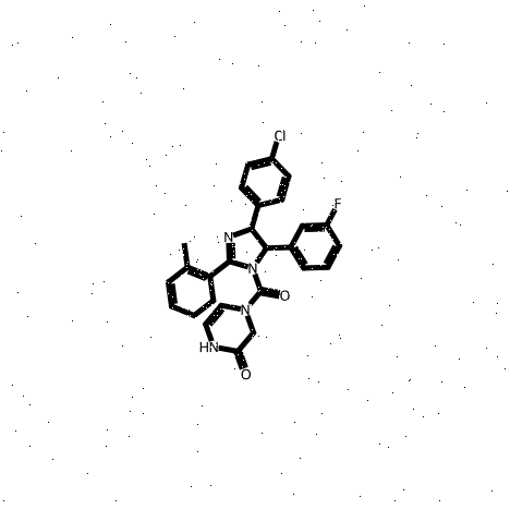 CC1=C(C2=NC(c3ccc(Cl)cc3)C(c3cccc(F)c3)N2C(=O)N2C=CNC(=O)C2)CCC=C1